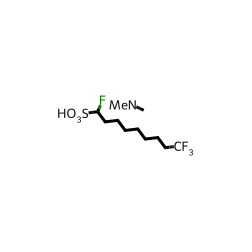 CNC.O=S(=O)(O)C(F)CCCCCCCC(F)(F)F